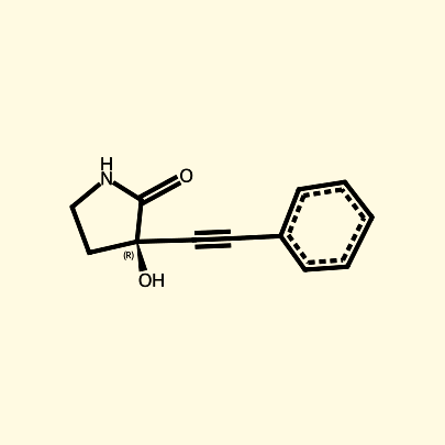 O=C1NCC[C@@]1(O)C#Cc1ccccc1